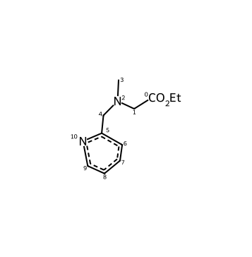 CCOC(=O)CN(C)Cc1ccccn1